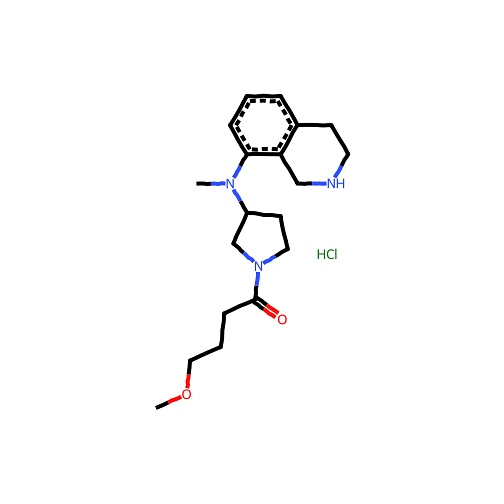 COCCCC(=O)N1CCC(N(C)c2cccc3c2CNCC3)C1.Cl